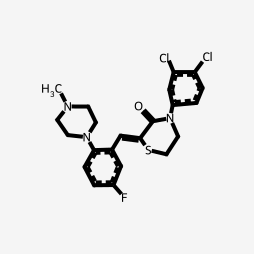 CN1CCN(c2ccc(F)cc2C=C2SCCN(c3ccc(Cl)c(Cl)c3)C2=O)CC1